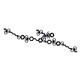 C=CC(=O)OCCCCCCOc1ccc(OC(=O)C2CCC(CCc3ccc(OCC4CCC(C(=O)Oc5ccc(OCCCCCCOC(=O)C=C)cc5)CC4)c(/C=N/N(CCOC(=O)C=C)c4nc5ccccc5s4)c3)CC2)cc1